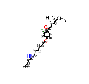 CC(C)=CCCC(=O)c1ccc(OCCCCCCNCCC2CC2)cc1F